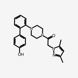 Cc1cc(C)n(CC(=O)N2CCN(c3ccccc3-c3ccc(O)cc3)CC2)n1